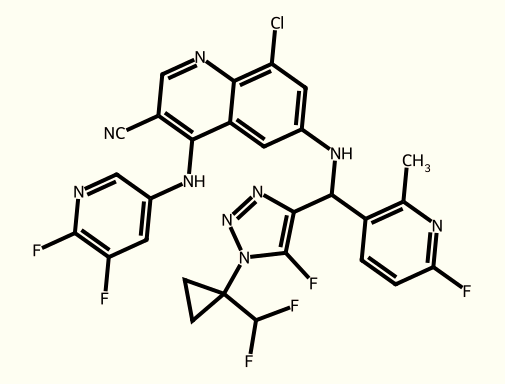 Cc1nc(F)ccc1C(Nc1cc(Cl)c2ncc(C#N)c(Nc3cnc(F)c(F)c3)c2c1)c1nnn(C2(C(F)F)CC2)c1F